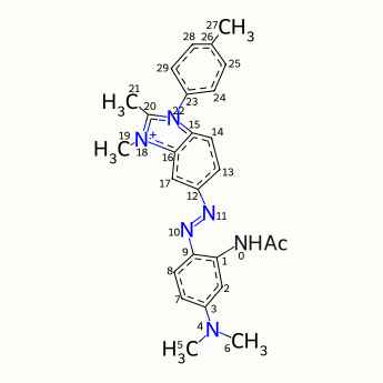 CC(=O)Nc1cc(N(C)C)ccc1N=Nc1ccc2c(c1)[n+](C)c(C)n2-c1ccc(C)cc1